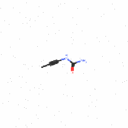 CC#CNC(N)=O